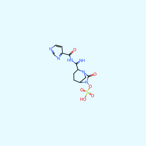 N=C(NC(=O)c1ccncn1)C1CCC2CN1C(=O)N2OS(=O)(=O)O